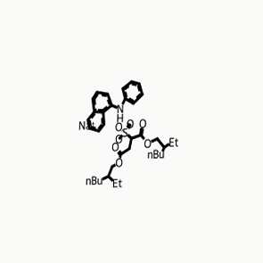 CCCCC(CC)COC(=O)CC(C(=O)OCC(CC)CCCC)S(=O)(=O)[O-].[Na+].c1ccc(Nc2cccc3ccccc23)cc1